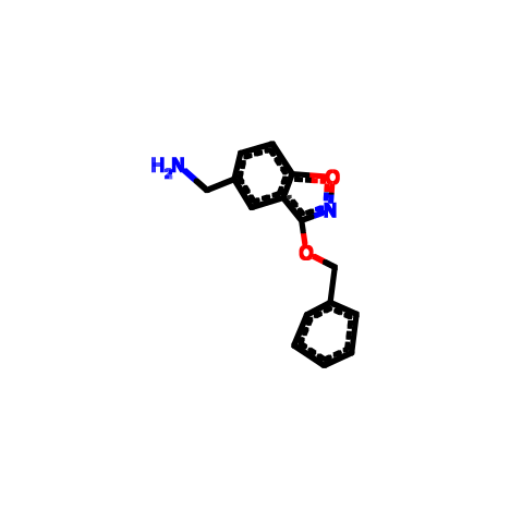 NCc1ccc2onc(OCc3ccccc3)c2c1